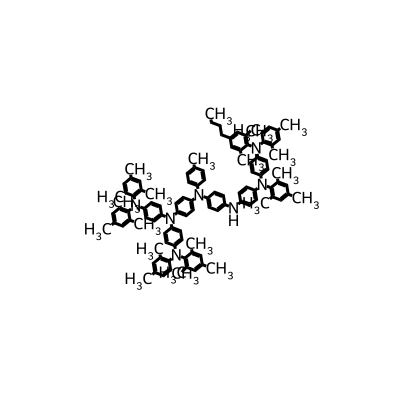 CCCCc1cc(C)c(N(c2ccc(N(c3ccc(Nc4ccc(N(c5ccc(C)cc5)c5ccc(N(c6ccc(N(c7c(C)cc(C)cc7C)c7c(C)cc(C)cc7C)cc6)c6ccc(N(c7c(C)cc(C)cc7C)c7c(C)cc(C)cc7C)cc6)cc5)cc4)cc3)c3c(C)cc(C)cc3C)cc2)c2c(C)cc(C)cc2C)c(C)c1